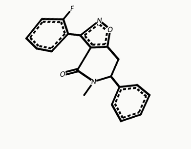 CN1C(=O)c2c(-c3ccccc3F)noc2CC1c1ccccc1